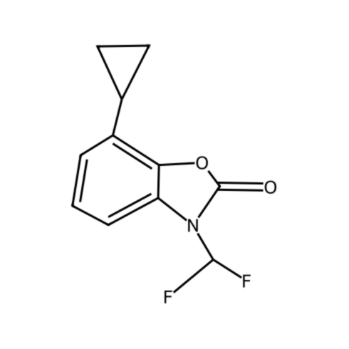 O=c1oc2c(C3CC3)cccc2n1C(F)F